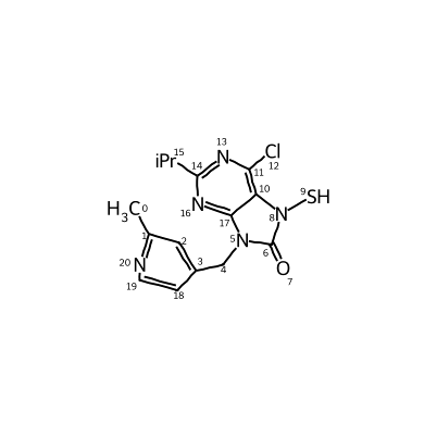 Cc1cc(Cn2c(=O)n(S)c3c(Cl)nc(C(C)C)nc32)ccn1